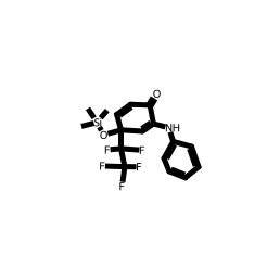 C[Si](C)(C)OC1(C(F)(F)C(F)(F)F)C=CC(=O)C(Nc2ccccc2)=C1